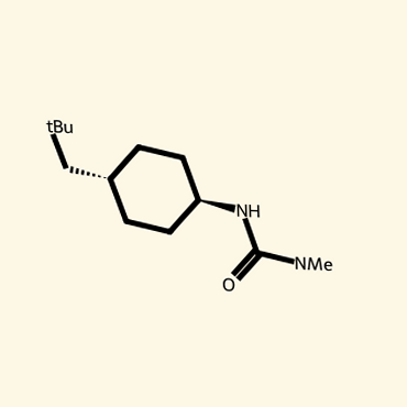 CNC(=O)N[C@H]1CC[C@H](CC(C)(C)C)CC1